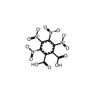 O=C(O)c1c(C(=O)O)c([N+](=O)[O-])c([N+](=O)[O-])c([N+](=O)[O-])c1[N+](=O)[O-]